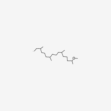 [CH2]CC(C)CCCC(C)CCCC(C)CCCC(C)OC